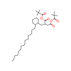 CCCCCCCCCCCCCCC1CCCCC1CC(CC(=O)OC(=O)C(C)(C)C)C(=O)OC(=O)C(C)(C)C